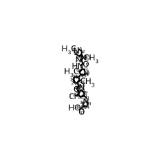 Cc1c(NC(=O)c2nc3c(n2C)CCN(C)C3)cncc1-c1cccc(-c2nc3cc(CN4CC[C@@H](C(=O)O)C4)cc(Cl)c3o2)c1C